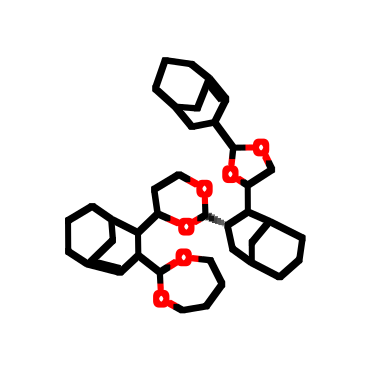 C1=C2CCCC(C2)CC1C1OCC(C2C3CCCC(C3)C[C@@H]2C2OCCC(C3C4CCCC(=CC3C3OCCCCO3)C4)O2)O1